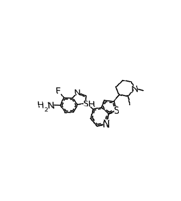 CC1C(c2cc3c([SH]4C=Nc5c4ccc(N)c5F)ccnc3s2)CCCN1C